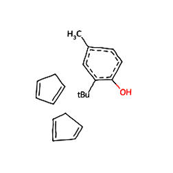 C1=CCC=C1.C1=CCC=C1.Cc1ccc(O)c(C(C)(C)C)c1